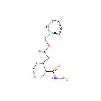 NNC(=O)C1COCCN1CC(=O)OCc1ccccc1